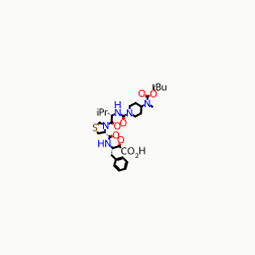 CC(C)[C@H](NC(=O)N1CCC(N(C)C(=O)OC(C)(C)C)CC1)C(=O)N1CSC[C@H]1C(=O)N[C@@H](Cc1ccccc1)C(=O)C(=O)O